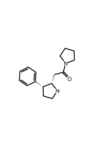 O=C(C[C@@H]1[N]CC[C@@H]1c1ccccc1)N1CCCC1